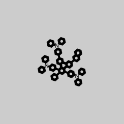 c1ccc(-c2cc(-c3ccc(N(c4ccccc4)c4ccccc4)cc3)c3c4ccc(-c5ccc6ccccc6c5)cc4c4cc(-c5ccc(N(c6ccccc6)c6ccccc6)cc5)ccc4c3c2-c2ccc(N(c3ccccc3)c3ccccc3)cc2)cc1